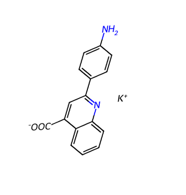 Nc1ccc(-c2cc(C(=O)[O-])c3ccccc3n2)cc1.[K+]